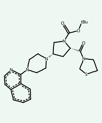 CC(C)(C)OC(=O)N1C[C@@H](N2CCN(c3nccc4ccccc34)CC2)C[C@H]1C(=O)N1CCSC1